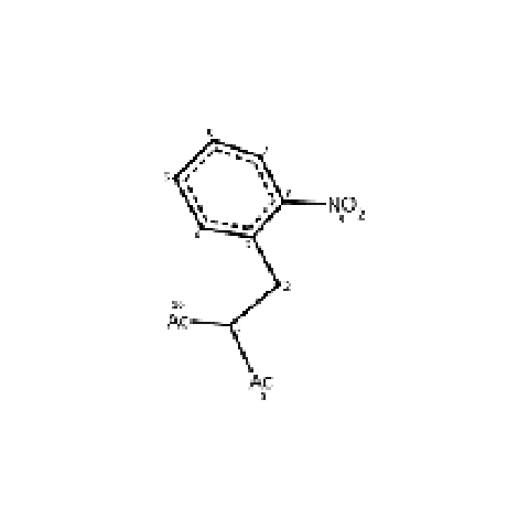 CC(=O)C(Cc1ccccc1[N+](=O)[O-])C(C)=O